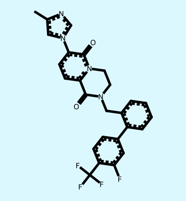 Cc1cn(-c2ccc3n(c2=O)CCN(Cc2ccccc2-c2ccc(C(F)(F)F)c(F)c2)C3=O)cn1